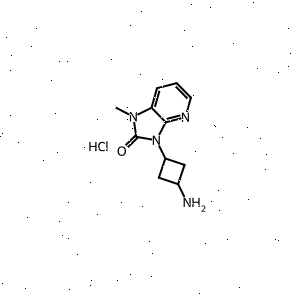 Cl.Cn1c(=O)n(C2CC(N)C2)c2ncccc21